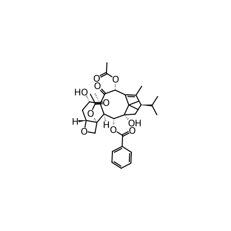 CC(=O)O[C@H]1C(=O)[C@]2(C)[C@@H](O)C[C@H]3OC[C@]3(OC(C)=O)[C@@H]2[C@@H](OC(=O)c2ccccc2)[C@]2(O)C[C@H](C(C)C)C(C)=C1C2(C)C